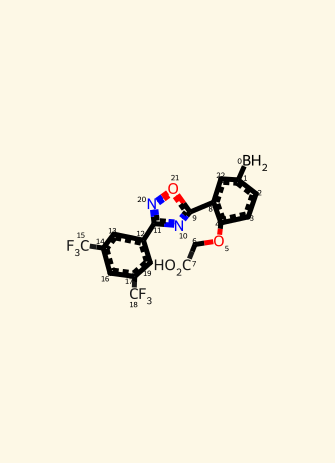 Bc1ccc(OCC(=O)O)c(-c2nc(-c3cc(C(F)(F)F)cc(C(F)(F)F)c3)no2)c1